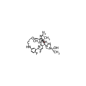 C=CC(O)N1CCN(c2nc(=O)n3c4nc(c(F)cc24)-c2cc(ccc2F)NCCCCO/C(C)=C/C3=C(\N=C)C(C)C)C2CC21